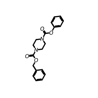 O=C(OCc1ccccc1)N1CCN(C(=O)Oc2ccccc2)CC1